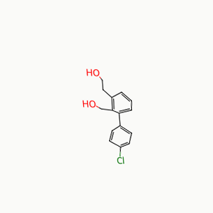 OCCc1cccc(-c2ccc(Cl)cc2)c1CO